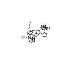 CCCCCc1nc2c(c(=O)[nH]c(=O)n2CCOC)n1Cc1ccc(-c2ccccc2-c2nnn[nH]2)cc1